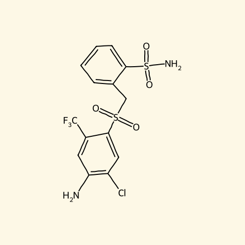 Nc1cc(C(F)(F)F)c(S(=O)(=O)Cc2ccccc2S(N)(=O)=O)cc1Cl